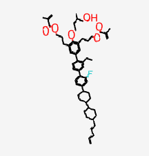 C=C(C)C(=O)OCCCc1cc(-c2ccc(-c3ccc(C4CCC(C5CCC(CCCCC)CC5)CC4)cc3F)cc2CC)cc(CCCOC(=O)C(=C)C)c1OCCC(C)CO